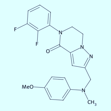 COc1ccc(N(C)Cc2cc3n(n2)CCN(c2cccc(F)c2F)C3=O)cc1